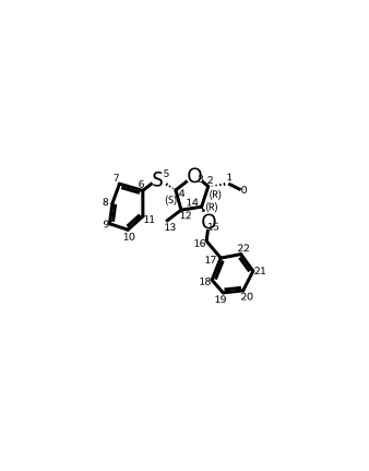 CC[C@H]1O[C@@H](Sc2ccccc2)C(C)[C@H]1OCc1ccccc1